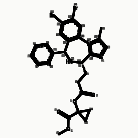 COC(=O)C1(OC(=O)CC[C@@H]2NC(c3ccccn3)c3cc(Br)c(Br)cc3-n3c(C)cnc32)CC1